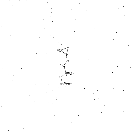 CCCCCCC(=O)OCC1CO1